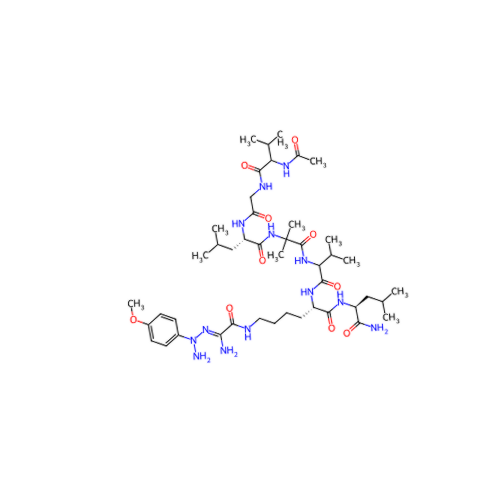 COc1ccc(N(N)/N=C(\N)C(=O)NCCCC[C@H](NC(=O)C(NC(=O)C(C)(C)NC(=O)[C@H](CC(C)C)NC(=O)CNC(=O)C(NC(C)=O)C(C)C)C(C)C)C(=O)N[C@@H](CC(C)C)C(N)=O)cc1